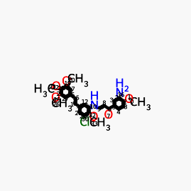 COc1ccc(C(=O)C=CNc2cc(C=Cc3cc(OC)c(OC)c(OC)c3)cc(Cl)c2OC)cc1N